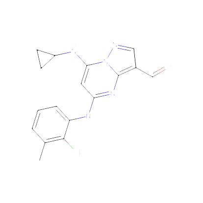 Cc1cccc(Nc2cc(NC3CC3)n3ncc(C=O)c3n2)c1Cl